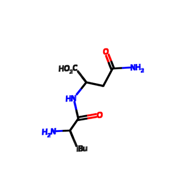 CCC(C)C(N)C(=O)NC(CC(N)=O)C(=O)O